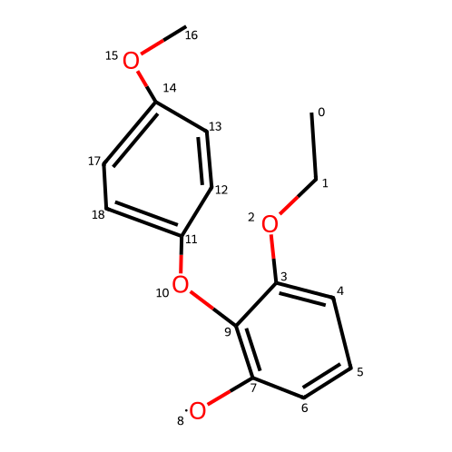 CCOc1cccc([O])c1Oc1ccc(OC)cc1